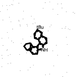 CC(C)(C)c1ccc2c(ccc3[nH]c4ccc5c(c4c32)C2CCC5CC2)c1